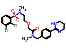 CN(Cc1ccc(C2=NCCCN2)cc1)C(=O)COCCN(C)S(=O)(=O)c1cccc(Cl)c1Cl